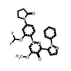 COc1cn(-c2ccc(N3CCCC3=O)cc2OC(F)F)nc(-c2ccnn2-c2ccccc2)c1=O